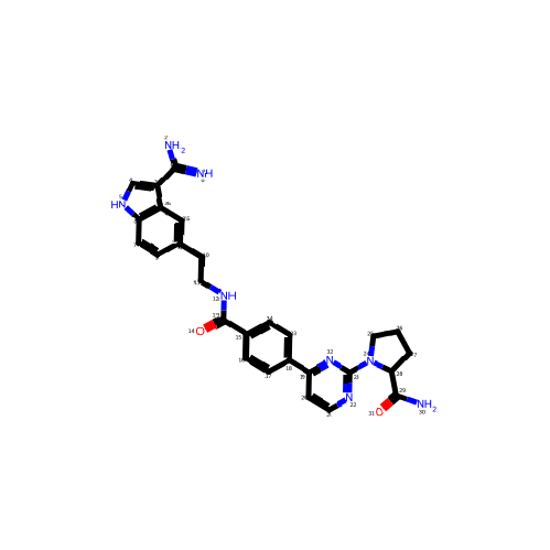 N=C(N)c1c[nH]c2ccc(CCNC(=O)c3ccc(-c4ccnc(N5CCCC5C(N)=O)n4)cc3)cc12